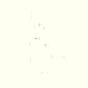 C=C1C[C@@]2(C)C(=CC1OC)C(Cl)=C[C@@H]1[C@@H]2CC[C@@]2(C)[C@H]1CC[C@]2(O)C(C)=O